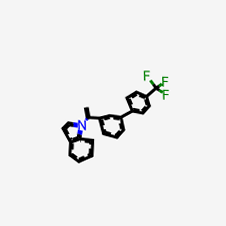 C=C(c1cccc(-c2ccc(C(F)(F)F)cc2)c1)n1ccc2ccccc21